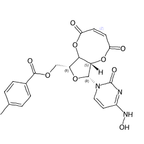 Cc1ccc(C(=O)OC[C@H]2O[C@@H](n3ccc(NO)nc3=O)[C@H]3OC(=O)/C=C\C(=O)OC23)cc1